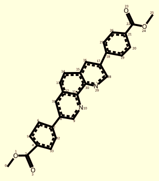 COC(=O)c1ccc(-c2cnc3c(ccc4cc(-c5ccc(C(=O)OC)cc5)cnc43)c2)cc1